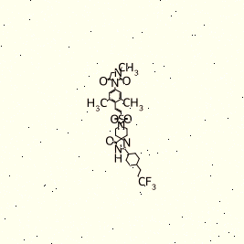 Cc1cc(N2C(=O)CN(C)C2=O)cc(C)c1/C=C/S(=O)(=O)N1CCC2(CC1)N=C(C1CCC(CCC(F)(F)F)CC1)NC2=O